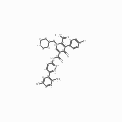 NC(=O)c1c(-c2ccc(F)cc2)c(=O)c(C(=O)Nc2ccc(-c3cc(Br)cnc3N)nn2)cn1CC1CCOCC1